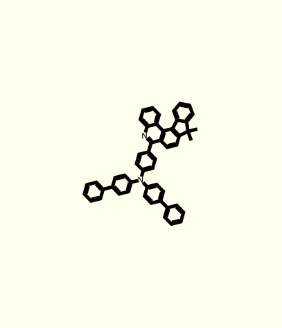 CC1(C)c2ccccc2-c2c1ccc1c(-c3ccc(N(c4ccc(-c5ccccc5)cc4)c4ccc(-c5ccccc5)cc4)cc3)nc3ccccc3c21